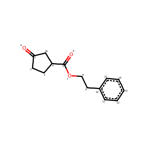 O=C1CCC(C(=O)OCCc2ccccc2)C1